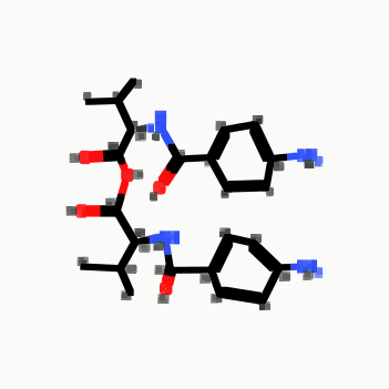 CC(C)[C@H](NC(=O)c1ccc(N)cc1)C(=O)OC(=O)[C@@H](NC(=O)c1ccc(N)cc1)C(C)C